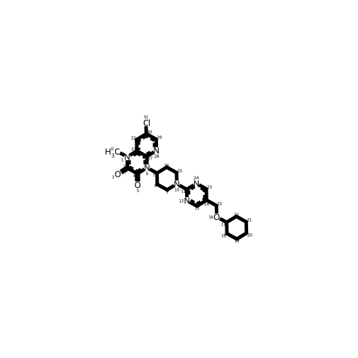 Cn1c(=O)c(=O)n(C2CCN(c3ncc(COC4CCCCC4)cn3)CC2)c2ncc(Cl)cc21